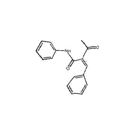 CC(=O)/C(=C/c1ccccc1)C(=O)Nc1ccccc1